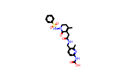 CC1=C(CC(=O)NCc2ccc(NC(=O)O)nc2C)C(=O)N(NS(=O)(=O)c2ccccc2)CC1